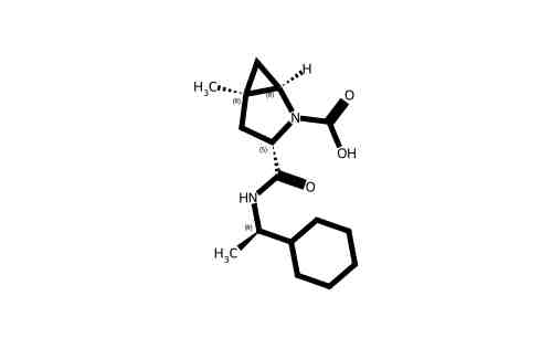 C[C@@H](NC(=O)[C@@H]1C[C@@]2(C)C[C@H]2N1C(=O)O)C1CCCCC1